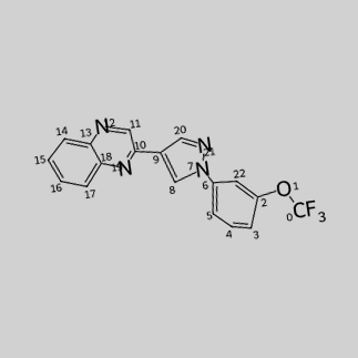 FC(F)(F)Oc1cccc(-n2cc(-c3cnc4ccccc4n3)cn2)c1